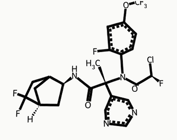 C[C@](C(=O)N[C@H]1C[C@@H]2CC1CC2(F)F)(c1cncnc1)N(C(=O)[C@H](F)Cl)c1ccc(OC(F)(F)F)cc1F